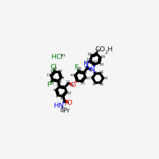 CC(C)NC(=O)c1ccc(-c2ccc(Cl)cc2F)c(COc2ccc(-c3nc4cc(C(=O)O)ccc4n3C3CCCCC3)c(F)c2)c1.Cl